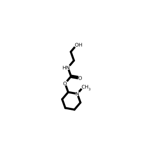 CN1CCCCC1OC(=O)NCCO